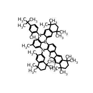 Cc1cc2c3c(c1)N(c1cc4c(cc1C)C(C)(C)CCC4(C)C)c1c(ccc4c1sc1cc5c(cc14)C(C)(C)CCC5(C)C)B3c1cc3c(cc1N2c1ccc(C(C)(C)C)cc1C)C(C)(C)CCC3(C)C